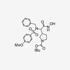 COc1ccc(S(=O)(=O)N(Cc2ccccc2)C(C(=O)NO)C2CCN(C(=O)OC(C)(C)C)C2)cc1